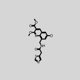 COC(=O)c1cc2cc(Cl)cc(CNC(=O)Cc3cncs3)c2nc1OC